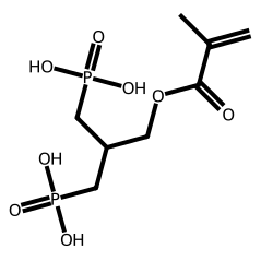 C=C(C)C(=O)OCC(CP(=O)(O)O)CP(=O)(O)O